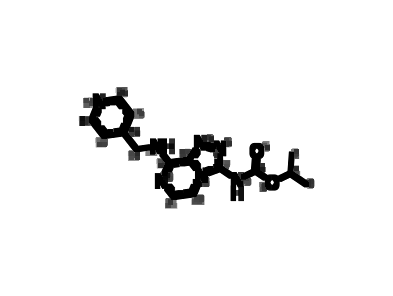 CC(C)OC(=O)Nc1nnc2c(NCc3ccncc3)nccn12